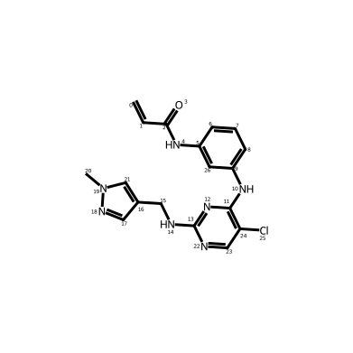 C=CC(=O)Nc1cccc(Nc2nc(NCc3cnn(C)c3)ncc2Cl)c1